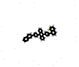 c1ccc2cc(-c3ccc(-c4c5ccccc5c(-c5ccc6c(c5)Sc5cccc7cccc-6c57)c5ccccc45)cc3)ccc2c1